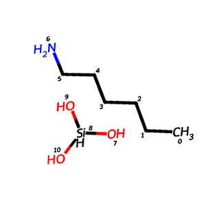 CCCCCCN.O[SiH](O)O